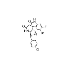 O=C1C[C@]2(C(=O)Nc3cc(F)c(Br)cc32)c2cnn(Cc3ccc(Cl)cc3)c2N1